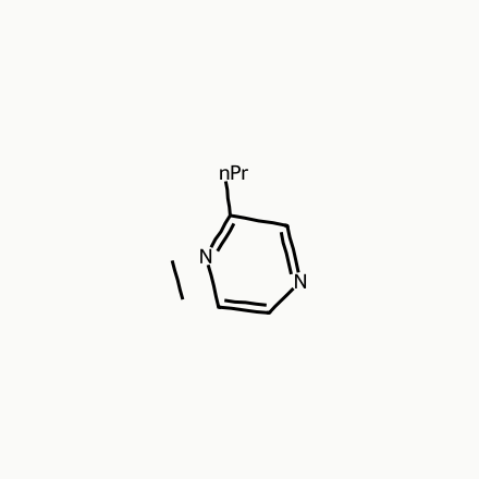 CC.CCCc1cnccn1